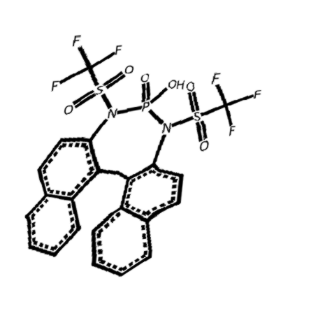 O=P1(O)N(S(=O)(=O)C(F)(F)F)c2ccc3ccccc3c2-c2c(ccc3ccccc23)N1S(=O)(=O)C(F)(F)F